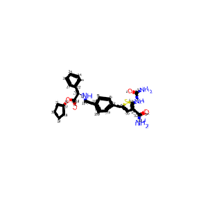 NC(=O)Nc1sc(-c2ccc(CN[C@H](C(=O)OC3CCCC3)c3ccccc3)cc2)cc1C(N)=O